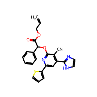 C=CCOC(=O)C(Oc1nc(-c2cccs2)cc(-c2ncc[nH]2)c1C#N)c1ccccc1